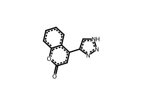 O=c1cc(-c2c[nH]nn2)c2ccccc2o1